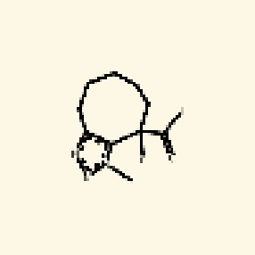 Cn1nnc2c1C(F)(C(=O)I)CCCCC2